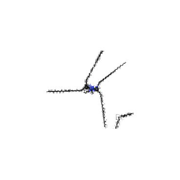 CCCCCCCCCCCCCCCCCCCCCC#Cc1cc(C#CCCCCCCCCCCCCCCCCCCCCC)cc(C2=C(CC)C(CCCC)=C(c3cc(C#CCCCCCCCCCCCCCCCCCCCCC)cc(C#CCCCCCCCCCCCCCCCCCCCCC)c3)[N+]2=[N-])c1.CCCCCCC[CH2][Pd][CH2]CCCCCCC